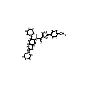 Cc1ccc(-c2nc(C(=O)Nc3cc4sc(N5CCOCC5)nc4nc3N3CCCCC3)co2)cn1